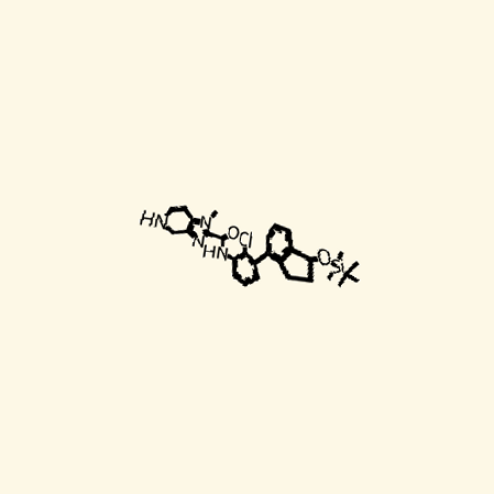 Cn1c(C(=O)Nc2cccc(-c3cccc4c3CCC4O[Si](C)(C)C(C)(C)C)c2Cl)nc2c1CCNC2